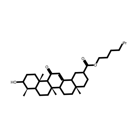 CC(C)CCCCOC(=O)C1CC[C@]2(C)CCC3C(=CC(=O)C4[C@@]3(C)CCC3[C@@H](C)C(O)CC[C@@]34C)C2C1